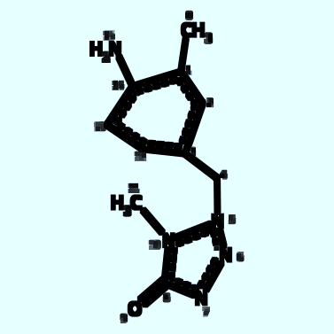 Cc1cc(Cn2nnc(=O)n2C)ccc1N